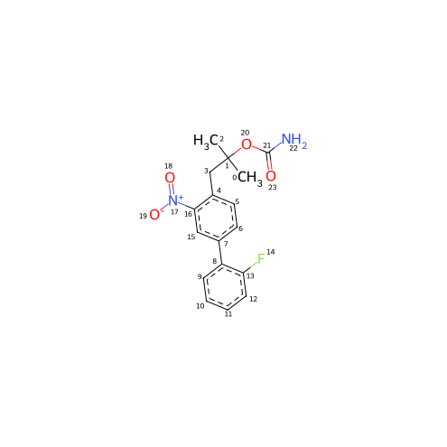 CC(C)(Cc1ccc(-c2ccccc2F)cc1[N+](=O)[O-])OC(N)=O